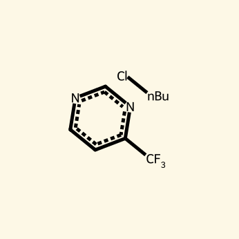 CCCCCl.FC(F)(F)c1ccncn1